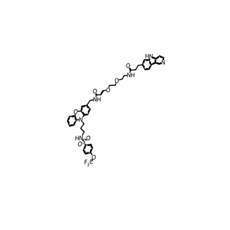 O=C(C=COCCOCCNC(=O)CCc1ccc2c(c1)[nH]c1ccncc12)NCc1ccc2c(c1)Oc1ccccc1N2CCCNS(=O)(=O)c1ccc(OC(F)(F)F)cc1